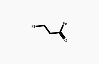 CCCC[C](=O)[Fe]